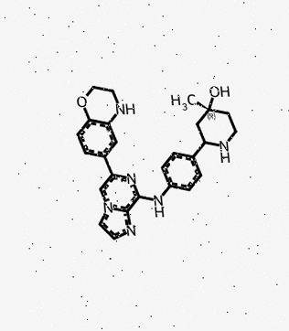 C[C@@]1(O)CCNC(c2ccc(Nc3nc(-c4ccc5c(c4)NCCO5)cn4ccnc34)cc2)C1